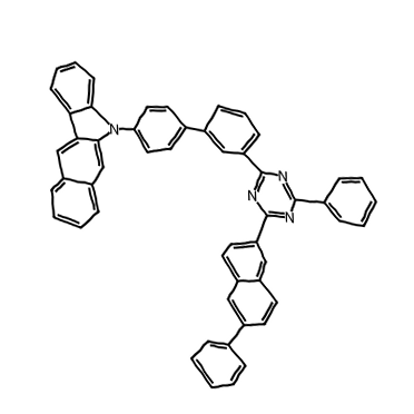 c1ccc(-c2ccc3cc(-c4nc(-c5ccccc5)nc(-c5cccc(-c6ccc(-n7c8ccccc8c8cc9ccccc9cc87)cc6)c5)n4)ccc3c2)cc1